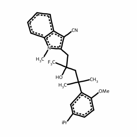 COc1ccc(C(C)C)cc1C(C)(C)CC(O)(Cc1c(C#N)c2ccccc2n1C)C(F)(F)F